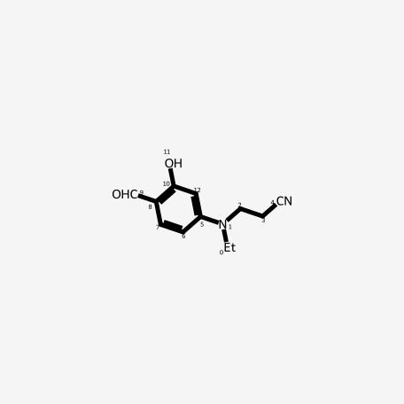 CCN(CCC#N)c1ccc(C=O)c(O)c1